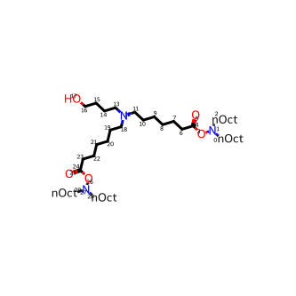 CCCCCCCCN(CCCCCCCC)OC(=O)CCCCCCN(CCCCO)CCCCCCC(=O)ON(CCCCCCCC)CCCCCCCC